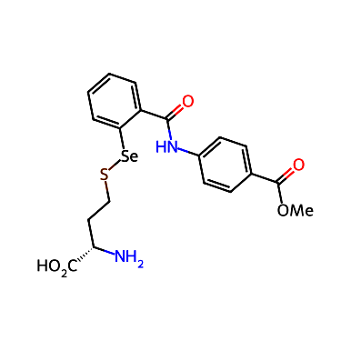 COC(=O)c1ccc(NC(=O)c2ccccc2[Se]SCC[C@H](N)C(=O)O)cc1